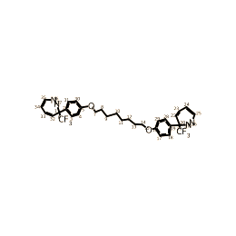 FC(F)(F)C1(c2ccc(OCCCCCCCCOc3ccc(C4(C(F)(F)F)C=CC=CN=N4)cc3)cc2)C=CC=CN=N1